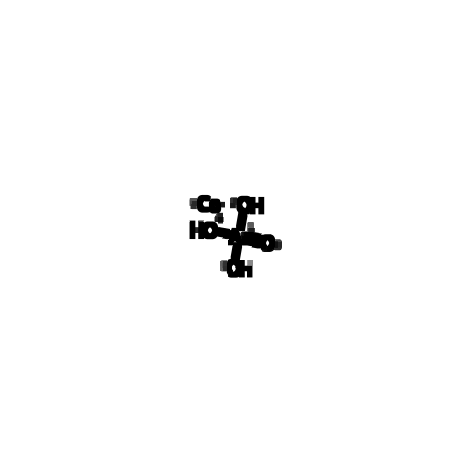 O=[As](O)(O)O.[Co]